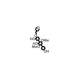 COc1cc(-c2ccc(O)cc2)c(OC)c(O)c1-c1ccc(OCC=C2CCOCC2)c(O)c1